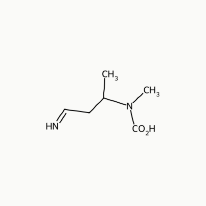 CC(CC=N)N(C)C(=O)O